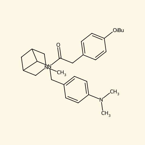 CC(C)COc1ccc(CC(=O)N(Cc2ccc(N(C)C)cc2)C2C3CC2CN(C)C3)cc1